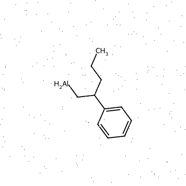 CCCC([CH2][AlH2])c1ccccc1